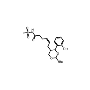 CC(C)(C)C1OCC(C/C=C\CCC(=O)NS(C)(=O)=O)C(c2ccccc2O)O1